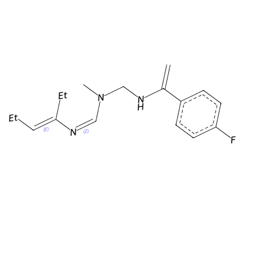 C=C(NCN(C)/C=N\C(=C\CC)CC)c1ccc(F)cc1